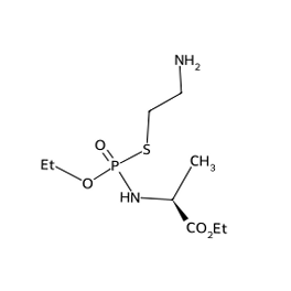 CCOC(=O)[C@H](C)NP(=O)(OCC)SCCN